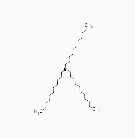 CCCCCCCCCC[CH2][In]([CH2]CCCCCCCCCC)[CH2]CCCCCCCCCC